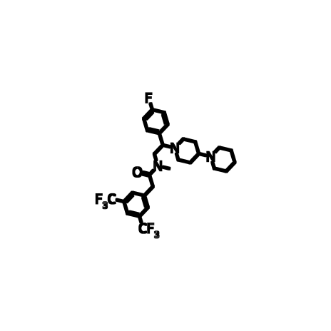 CN(CC(c1ccc(F)cc1)N1CCC(N2CCCCC2)CC1)C(=O)Cc1cc(C(F)(F)F)cc(C(F)(F)F)c1